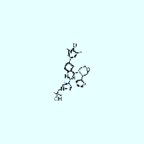 C=C/C(=C\NCC(C)(C)O)c1nc(N2CCOCC2c2cccs2)c2cc(-c3cc(C)c(=O)n(C)c3)ccc2n1